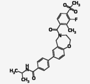 Cc1c(C(=O)N2CCOc3ccc(-c4ccc(C(=O)NC(C)C)cc4)cc3C2)ccc(S(C)(=O)=O)c1F